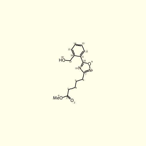 COC(=O)CCCCc1noc(-c2ccccc2CO)n1